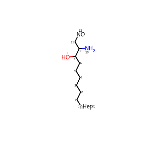 CCCCCCCCCCCCCC(O)C(N)CN=O